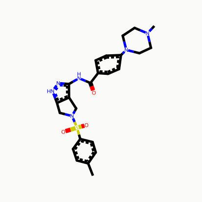 Cc1ccc(S(=O)(=O)N2Cc3[nH]nc(NC(=O)c4ccc(N5CCN(C)CC5)cc4)c3C2)cc1